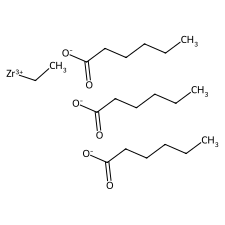 CCCCCC(=O)[O-].CCCCCC(=O)[O-].CCCCCC(=O)[O-].C[CH2][Zr+3]